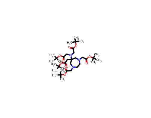 CC(C)(C)OC(=O)CN1CCN(CC(=O)OC(C)(C)C)CC(CC(=O)OC(C)(C)C)(N(CC(=O)OC(C)(C)C)CC(=O)OC(C)(C)C)C1